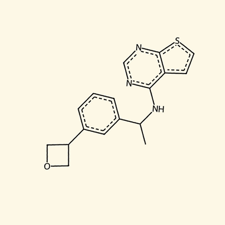 CC(Nc1ncnc2sccc12)c1cccc(C2COC2)c1